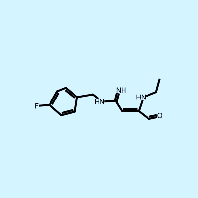 CCN/C(C=O)=C\C(=N)NCc1ccc(F)cc1